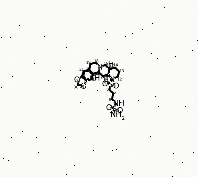 NS(=O)(=O)NCCCS(=O)(=O)N1CCC[C@H]2CN3CCc4cc5c(cc4[C@@H]3C[C@H]21)OCO5